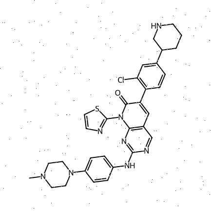 CN1CCN(c2ccc(Nc3ncc4cc(-c5ccc(C6CCCNC6)cc5Cl)c(=O)n(-c5nccs5)c4n3)cc2)CC1